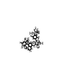 CCC(Nc1cc(F)c(C(=O)NC(Cc2ccc(-c3c(C(F)(F)F)cc(C)n(C)c3=O)c3ncccc23)C(=O)O)cc1C)C(F)(F)F